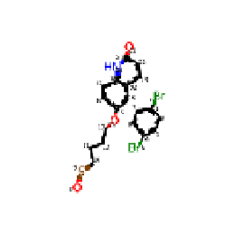 Brc1ccc(Br)cc1.O=S=CCCCOc1ccc2[nH]c(=O)ccc2c1